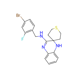 Fc1cc(Br)ccc1CNC1=Nc2ccccc2NC12CCSCC2